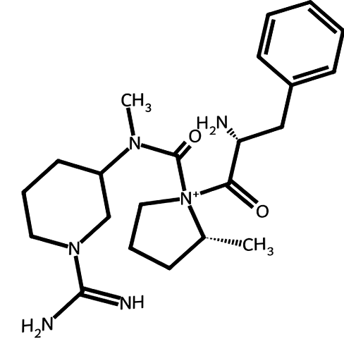 C[C@@H]1CCC[N+]1(C(=O)[C@H](N)Cc1ccccc1)C(=O)N(C)C1CCCN(C(=N)N)C1